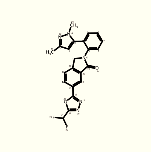 Cc1cc(-c2ccccc2N2Cc3ccc(-c4nnc(C(F)F)o4)cc3C2=O)n(C)n1